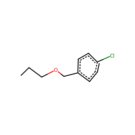 CCCOCc1ccc(Cl)cc1